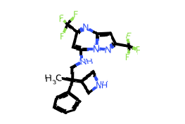 CC(CNc1cc(C(F)(F)F)nc2cc(C(F)(F)F)nn12)(c1ccccc1)C1CNC1